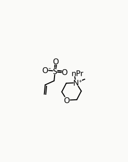 C=CCS(=O)(=O)[O-].CCC[N+]1(C)CCOCC1